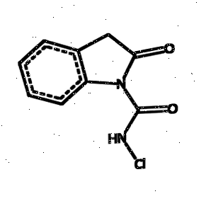 O=C1Cc2ccccc2N1C(=O)NCl